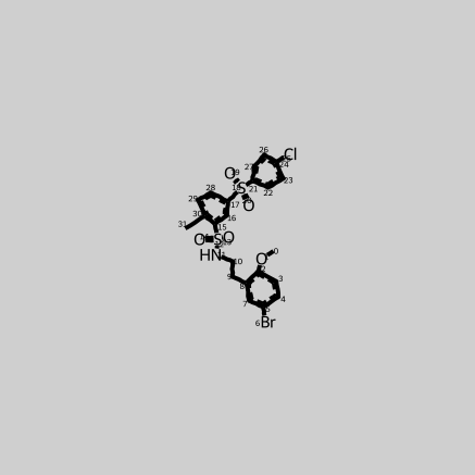 COc1ccc(Br)cc1CCNS(=O)(=O)c1cc(S(=O)(=O)c2ccc(Cl)cc2)ccc1C